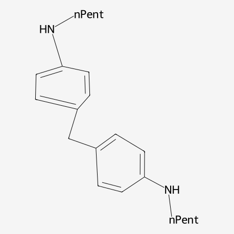 CCCCCNc1ccc(Cc2ccc(NCCCCC)cc2)cc1